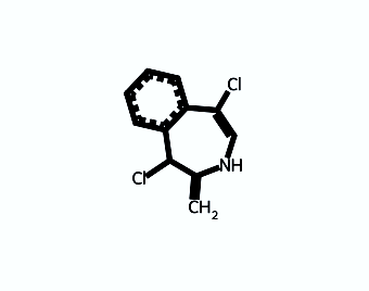 C=C1NC=C(Cl)c2ccccc2C1Cl